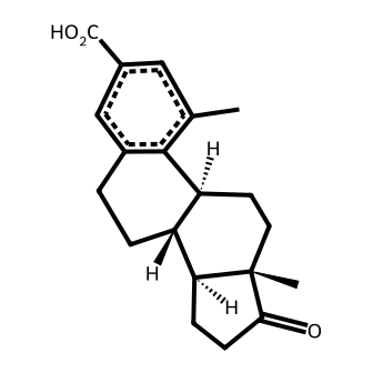 Cc1cc(C(=O)O)cc2c1[C@H]1CC[C@]3(C)C(=O)CC[C@H]3[C@@H]1CC2